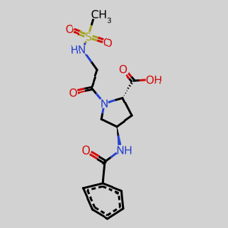 CS(=O)(=O)NCC(=O)N1C[C@H](NC(=O)c2ccccc2)C[C@H]1C(=O)O